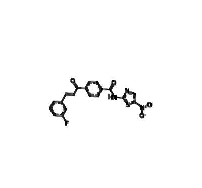 O=C(/C=C/c1cccc(F)c1)c1ccc(C(=O)Nc2ncc([N+](=O)[O-])s2)cc1